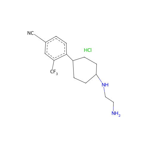 Cl.N#Cc1ccc(C2CCC(NCCN)CC2)c(C(F)(F)F)c1